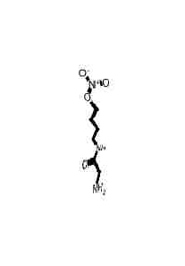 NCC(=O)NCCCCO[N+](=O)[O-]